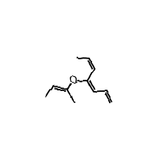 C=C/C=C(\C=C/C)O/C(C)=C/C